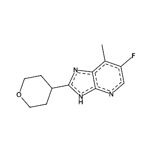 Cc1c(F)cnc2[nH]c(C3CCOCC3)nc12